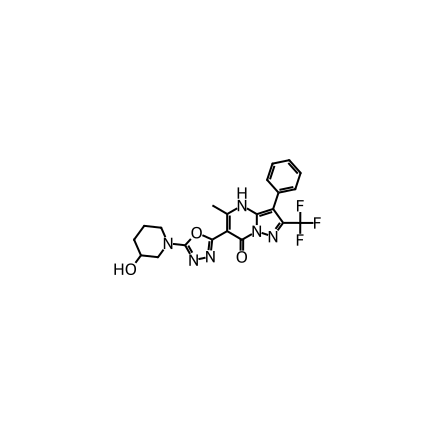 Cc1[nH]c2c(-c3ccccc3)c(C(F)(F)F)nn2c(=O)c1-c1nnc(N2CCCC(O)C2)o1